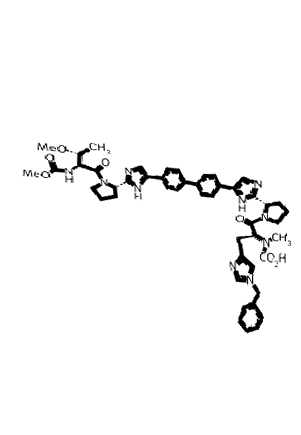 COC(=O)N[C@H](C(=O)N1CCC[C@H]1c1ncc(-c2ccc(-c3ccc(-c4cnc([C@@H]5CCCN5C(=O)[C@H](Cc5cn(Cc6ccccc6)cn5)N(C)C(=O)O)[nH]4)cc3)cc2)[nH]1)[C@@H](C)OC